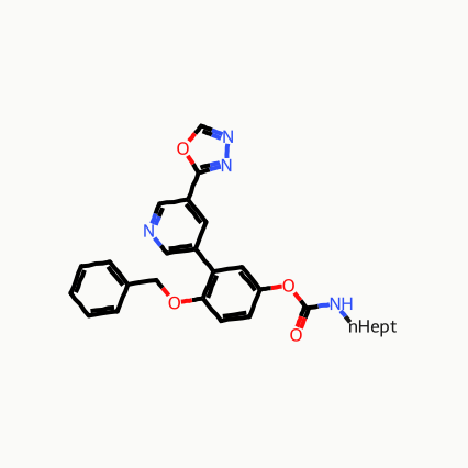 CCCCCCCNC(=O)Oc1ccc(OCc2ccccc2)c(-c2cncc(-c3nnco3)c2)c1